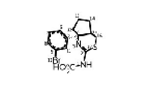 O=C(O)NC1=N[C@@]2(c3cccc(Br)c3)CCCC2CS1